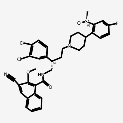 COc1c(C#N)cc2ccccc2c1C(=O)NC[C@@H](CCN1CCC(c2ccc(F)cc2[S@+](C)[O-])CC1)c1ccc(Cl)c(Cl)c1